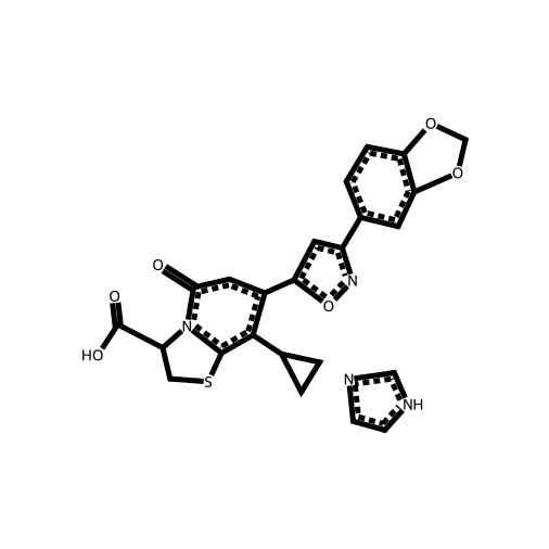 O=C(O)C1CSc2c(C3CC3)c(-c3cc(-c4ccc5c(c4)OCO5)no3)cc(=O)n21.c1c[nH]cn1